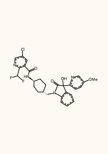 COc1ccc(C2(O)C(=O)N(C[C@H]3CC[C@H](NC(=O)c4cc(Cl)cnc4C(F)F)CC3)c3ccccc32)nc1